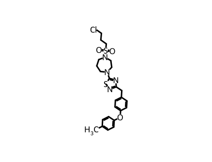 Cc1ccc(Oc2ccc(Cc3nsc(N4CCCN(S(=O)(=O)CCCCl)CC4)n3)cc2)cc1